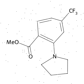 COC(=O)c1ccc(C(F)(F)F)cc1N1CCCC1